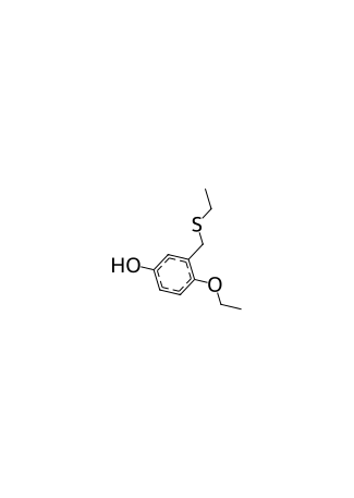 CCOc1ccc(O)cc1CSCC